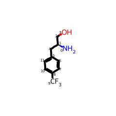 N[C@H](CO)Cc1ccc(C(F)(F)F)cc1